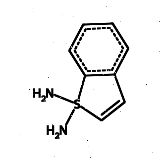 NS1(N)C=Cc2ccccc21